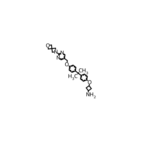 CC(C)(c1ccc(OCc2cnc(N3CC4(COC4)C3)nc2)cc1)c1ccc(OC2CC(N)C2)cc1